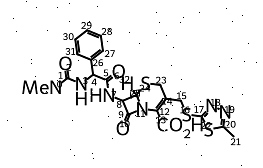 CNC(=O)NC(C(=O)NC1C(=O)N2C(C(=O)O)=C(CSc3nnc(C)s3)CS[C@@H]12)c1ccccc1